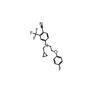 N#Cc1ccc(N(CCOc2ccc(F)cc2)CC2CC2)cc1C(F)(F)F